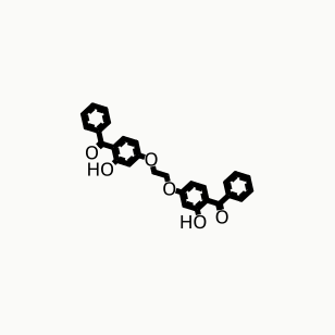 O=C(c1ccccc1)c1ccc(OCCOc2ccc(C(=O)c3ccccc3)c(O)c2)cc1O